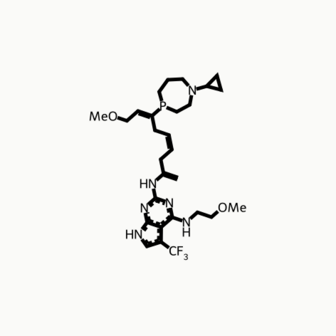 C=C(C/C=C\C/C(=C\COC)P1CCCN(C2CC2)CC1)Nc1nc(NCCOC)c2c(C(F)(F)F)c[nH]c2n1